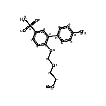 COCCOCOc1ccc(S(C)(=O)=O)cc1-c1ccc(C(F)(F)F)nc1